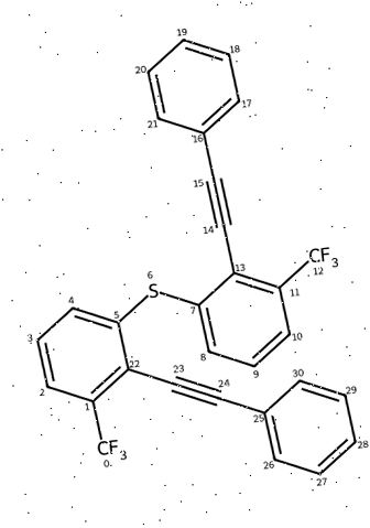 FC(F)(F)c1cccc(Sc2cccc(C(F)(F)F)c2C#Cc2ccccc2)c1C#Cc1ccccc1